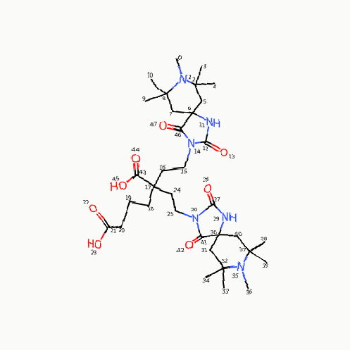 CN1C(C)(C)CC2(CC1(C)C)NC(=O)N(CCC(CCCC(=O)O)(CCN1C(=O)NC3(CC(C)(C)N(C)C(C)(C)C3)C1=O)C(=O)O)C2=O